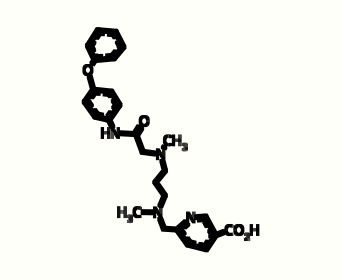 CN(CCCN(C)Cc1ccc(C(=O)O)cn1)CC(=O)Nc1ccc(Oc2ccccc2)cc1